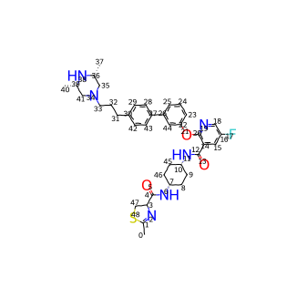 CC1=NC(C(=O)N[C@H]2CC[C@@H](NC(=O)c3cc(F)cnc3Oc3cccc(-c4ccc(CCCN5C[C@@H](C)N[C@@H](C)C5)cc4)c3)CC2)CS1